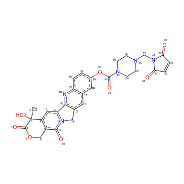 CCC1(O)C(=O)OCc2c1cc1n(c2=O)Cc2cc3cc(OC(=O)N4CCN(CN5C(=O)C=CC5=O)CC4)ccc3nc2-1